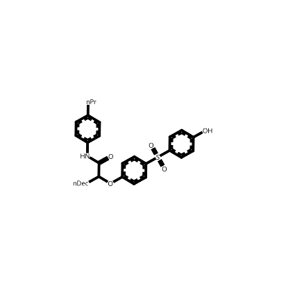 CCCCCCCCCCC(Oc1ccc(S(=O)(=O)c2ccc(O)cc2)cc1)C(=O)Nc1ccc(CCC)cc1